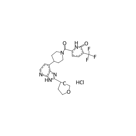 Cl.O=C(c1ccc(C(F)(F)F)c(=O)[nH]1)N1CCC(c2ccnc3[nH]c(C4CCOCC4)nc23)CC1